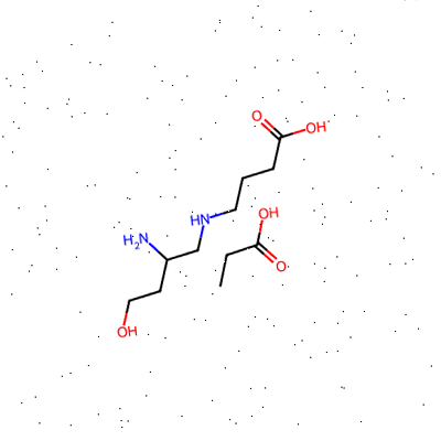 CCC(=O)O.NC(CCO)CNCCCC(=O)O